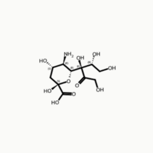 N[C@H]1[C@H]([C@@](O)(C(=O)CO)[C@H](O)CO)O[C@](O)(C(=O)O)C[C@@H]1O